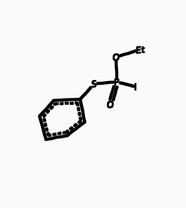 CCOP(=O)(I)Sc1ccccc1